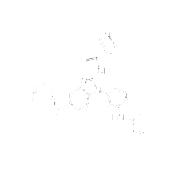 C=CC(=O)Nc1cccc(-n2c(NC(=O)c3ccns3)nc3cc(CN4CCOCC4)ccc32)c1